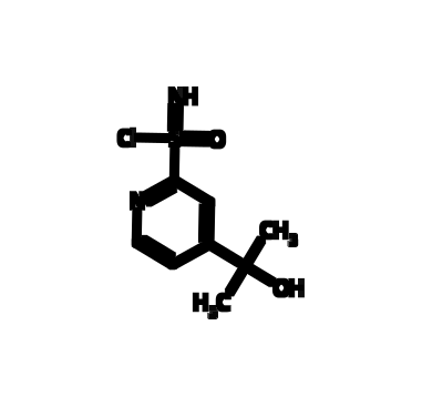 CC(C)(O)c1ccnc(S(=N)(=O)Cl)c1